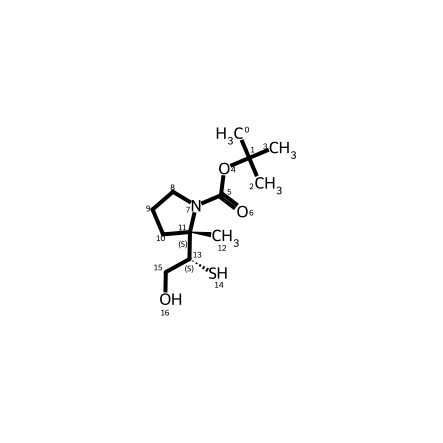 CC(C)(C)OC(=O)N1CCC[C@@]1(C)[C@H](S)CO